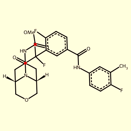 COC(=O)NC1C[C@H]2COC[C@@H](C1)N2C(=O)C(F)(F)c1cc(C(=O)Nc2ccc(F)c(C)c2)ccc1F